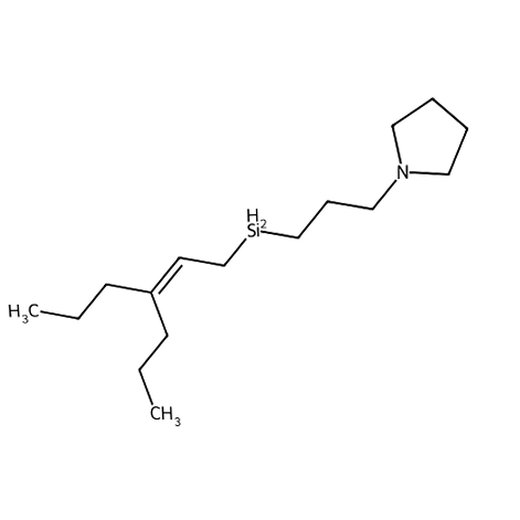 CCCC(=CC[SiH2]CCCN1CCCC1)CCC